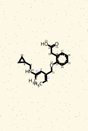 C/C=C(\C=C(/C)NCC1CC1)COc1ccccc1CC(=O)O